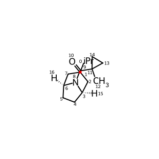 CC(C)C1C[C@H]2CC[C@@H](C1)N2C(=O)C1(C)CC1